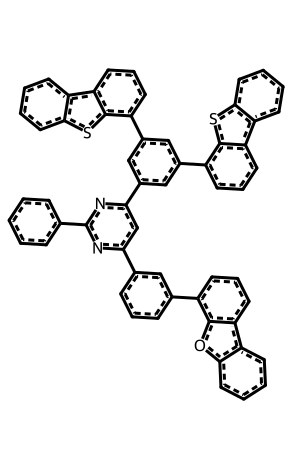 c1ccc(-c2nc(-c3cccc(-c4cccc5c4oc4ccccc45)c3)cc(-c3cc(-c4cccc5c4sc4ccccc45)cc(-c4cccc5c4sc4ccccc45)c3)n2)cc1